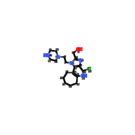 OCc1nc2c(n1CCN1CCNCC1)C1=C(CCCCC1)NC2Cl